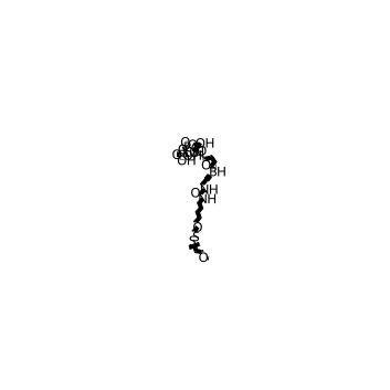 COCCC(C)(C)SSCOCCCCCNC(=O)NCC#CB[C@H]1CC[C@@H](COP(=O)(O)OP(=O)(O)OP(=O)(O)O)O1